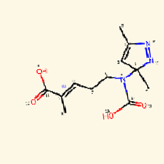 CC1=CC(C)(N(CC/C=C(\C)C(=O)O)C(=O)O)N=N1